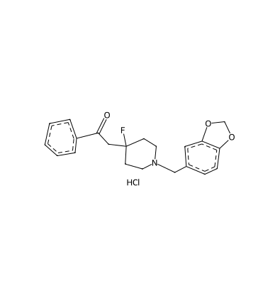 Cl.O=C(CC1(F)CCN(Cc2ccc3c(c2)OCO3)CC1)c1ccccc1